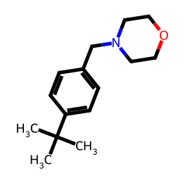 CC(C)(C)c1ccc(CN2CCOCC2)cc1